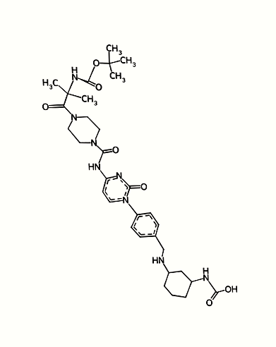 CC(C)(C)OC(=O)NC(C)(C)C(=O)N1CCN(C(=O)Nc2ccn(-c3ccc(CNC4CCCC(NC(=O)O)C4)cc3)c(=O)n2)CC1